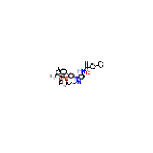 CCCCc1nc2ccc(NC(=O)NC3CCC(C4CCCCC4)CC3)cc2n1-c1ccc(-c2cccc(C(C)(C)C)c2C(=O)OC)cc1